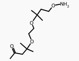 CC(=O)CC(C)(C)OCCOC(C)(C)CCON